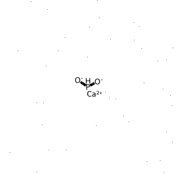 [Ca+2].[O-]P[O-]